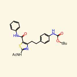 CC(=O)Nc1nc(CCc2ccc(NC(=O)OC(C)(C)C)cc2)c(C(=O)Nc2ccccc2)s1